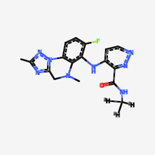 [2H]C([2H])([2H])NC(=O)c1nnccc1Nc1c(F)ccc2c1N(C)Cc1nc(C)nn1-2